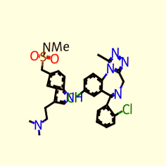 CNS(=O)(=O)Cc1ccc2[nH]cc(CCN(C)C)c2c1.Cc1nnc2n1-c1ccc(Cl)cc1C(c1ccccc1Cl)=NC2